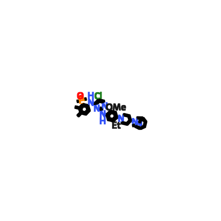 CCc1cc(Nc2ncc(Cl)c(Nc3ccc(C)c(C)c3P(C)(C)=O)n2)c(OC)cc1N1CCC(N2CC3CCC(C2)N(C)C3)CC1